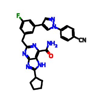 N#Cc1ccc(-n2cc(-c3cc(F)cc(Cc4nc(C(N)=O)c5[nH]c(C6CCCC6)nc5n4)c3)cn2)cc1